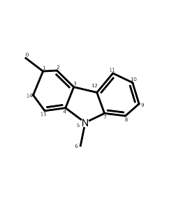 CC1C=c2c(n(C)c3ccccc23)=CC1